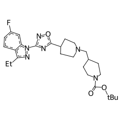 CCc1nn(-c2noc(C3CCN(CC4CCN(C(=O)OC(C)(C)C)CC4)CC3)n2)c2cc(F)ccc12